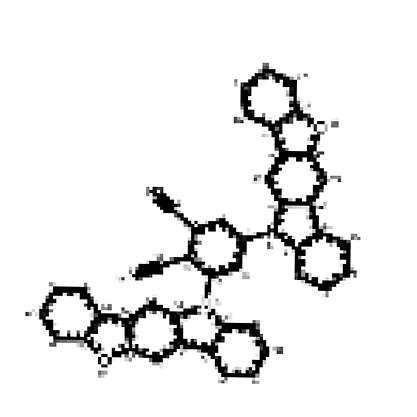 N#Cc1cc(-n2c3ccccc3c3cc4oc5ccccc5c4cc32)cc(-n2c3ccccc3c3cc4oc5ccccc5c4cc32)c1C#N